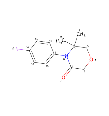 CC1(C)COCC(=O)N1c1ccc(I)cc1